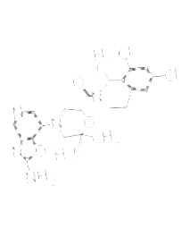 C[C@H]1c2c(Cl)cc(Cl)cc2CCN1C(=O)[C@H]1CN(c2cncc3nc(N)oc23)CC(C)(C)O1